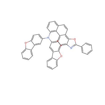 c1ccc(-c2nc3ccc4c(ccc5cccc(N(c6ccc7oc8ccccc8c7c6)c6ccc7oc8ccccc8c7c6)c54)c3o2)cc1